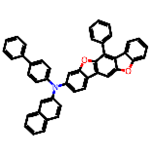 c1ccc(-c2ccc(N(c3ccc4ccccc4c3)c3ccc4c(c3)oc3c(-c5ccccc5)c5c(cc34)oc3ccccc35)cc2)cc1